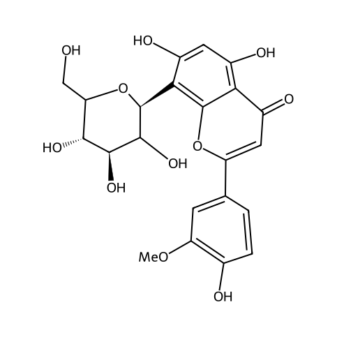 COc1cc(-c2cc(=O)c3c(O)cc(O)c([C@@H]4OC(CO)[C@@H](O)[C@H](O)C4O)c3o2)ccc1O